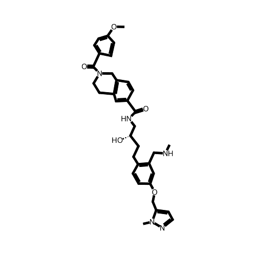 CNCc1cc(OCc2ccnn2C)ccc1CC[C@H](O)CNC(=O)c1ccc2c(c1)CCN(C(=O)c1ccc(OC)cc1)C2